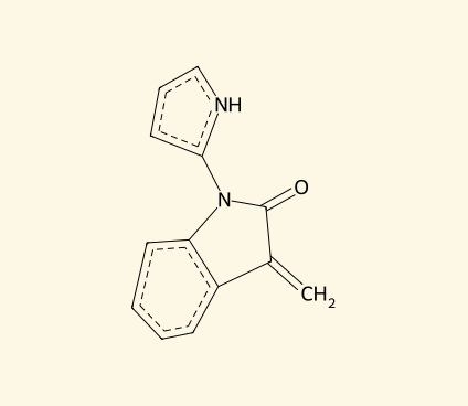 C=C1C(=O)N(c2ccc[nH]2)c2ccccc21